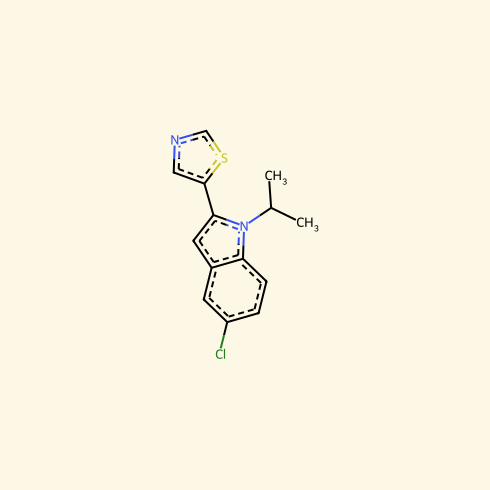 CC(C)n1c(-c2cncs2)cc2cc(Cl)ccc21